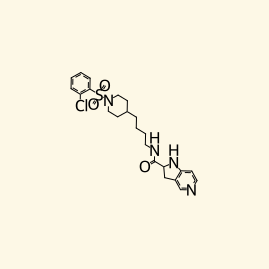 O=C(NCCCCC1CCN(S(=O)(=O)c2ccccc2Cl)CC1)C1Cc2cnccc2N1